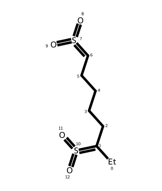 CCC(CCCCC=S(=O)=O)=S(=O)=O